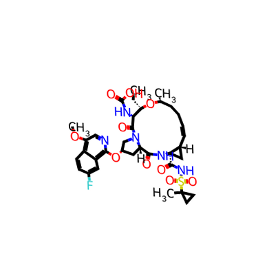 CC[C@@H]1O[C@H](C)CC/C=C\[C@@H]2C[C@@]2(C(=O)NS(=O)(=O)C2(C)CC2)NC(=O)[C@@H]2C[C@@H](Oc3ncc(OC)c4ccc(F)cc34)CN2C(=O)[C@H]1NC(=O)O